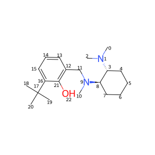 CN(C)[C@@H]1CCCC[C@H]1N(C)Cc1cccc(C(C)(C)C)c1O